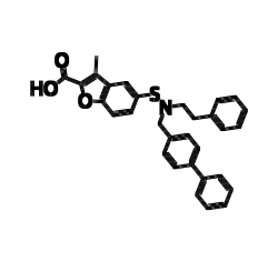 Cc1c(C(=O)O)oc2ccc(SN(CCc3ccccc3)Cc3ccc(-c4ccccc4)cc3)cc12